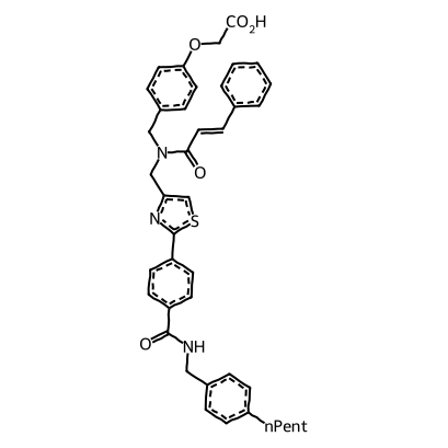 CCCCCc1ccc(CNC(=O)c2ccc(-c3nc(CN(Cc4ccc(OCC(=O)O)cc4)C(=O)C=Cc4ccccc4)cs3)cc2)cc1